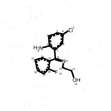 Nc1ccc(Cl)cc1C(=NCCO)c1ccccc1F